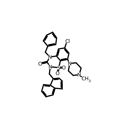 CN1CCN(c2cc(Cl)cc3c2S(=O)(=O)N(Cc2cccc4ccccc24)C(=O)N3Cc2ccccc2)CC1